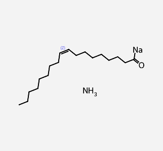 CCCCCCCC/C=C\CCCCCCC[C](=O)[Na].N